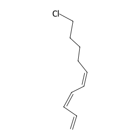 C=C/C=C\C=C/CCCCCl